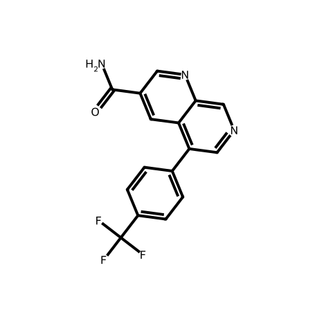 NC(=O)c1cnc2cncc(-c3ccc(C(F)(F)F)cc3)c2c1